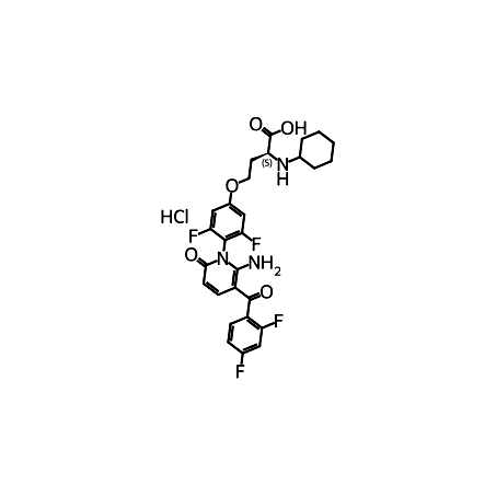 Cl.Nc1c(C(=O)c2ccc(F)cc2F)ccc(=O)n1-c1c(F)cc(OCC[C@H](NC2CCCCC2)C(=O)O)cc1F